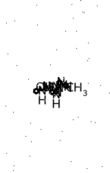 CN1CCN(c2nccc3[nH]c(-c4n[nH]c5ccc(-c6cncc(NC(O)C7CCCCC7)c6)c(F)c45)nc23)CC1